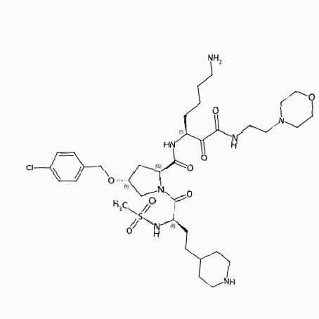 CS(=O)(=O)N[C@H](CCC1CCNCC1)C(=O)N1C[C@H](OCc2ccc(Cl)cc2)C[C@H]1C(=O)N[C@@H](CCCCN)C(=O)C(=O)NCCN1CCOCC1